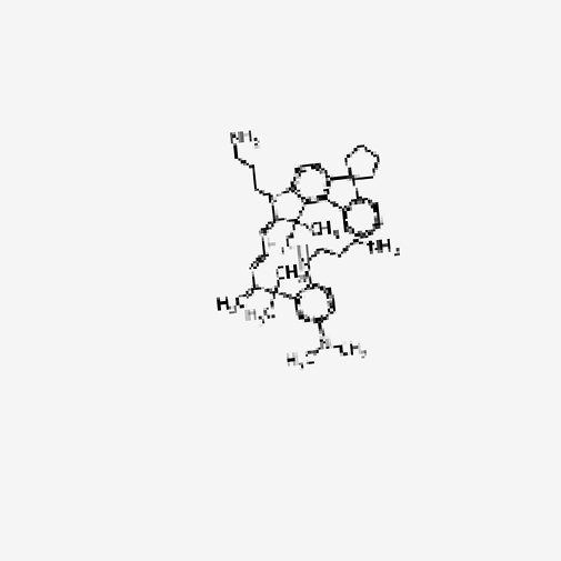 C=C(/C=C/C=C1/N(CCCN)c2ccc3c(c2C1(C)C)-c1ccccc1C31CCCC1)C(C)(C)c1cc(N(C)C)ccc1NCCCN